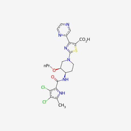 CCCO[C@H]1CN(c2nc(-c3cnccn3)c(C(=O)O)s2)CC[C@H]1NC(=O)c1[nH]c(C)c(Cl)c1Cl